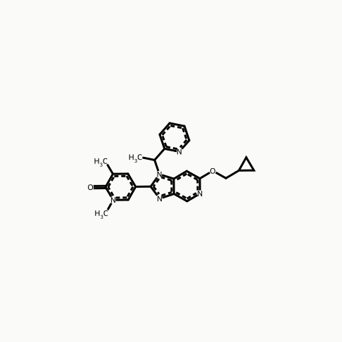 Cc1cc(-c2nc3cnc(OCC4CC4)cc3n2C(C)c2ccccn2)cn(C)c1=O